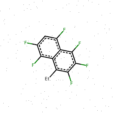 [CH2]Cc1c(F)c(F)c(F)c2c(F)cc(F)c(F)c12